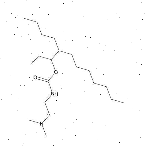 CCCCCCCC(CCCC)C(CC)OC(=O)NCCN(C)C